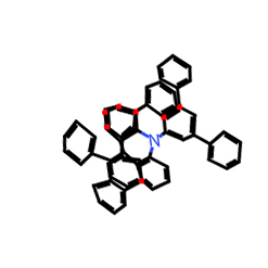 c1ccc(-c2cc(-c3ccccc3)cc(N(c3c(-c4ccccc4)cccc3-c3ccccc3)c3cccc4c3c(-c3ccccc3)c(-c3ccccc3)c3ccccc34)c2)cc1